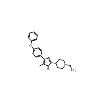 Cc1[nH]c(C2CCN(CC(F)(F)F)CC2)nc1-c1ccc(Oc2ccccc2)nc1